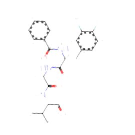 CC(C)[C@@H](C=O)NC(=O)[C@H](C)NC(=O)[C@@H](Cc1ccc(F)c(F)c1)NC(=O)c1ccccc1